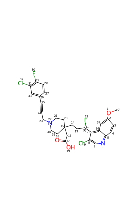 COc1ccc2ncc(Cl)c([C@H](F)CCC3(CC(=O)O)CCN(CC#Cc4ccc(F)c(Cl)c4)CC3)c2c1